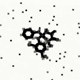 CC(C)OC(=O)C(C)[AsH]P(=O)(Oc1ccccc1)Oc1ccc([N+](=O)[O-])cc1Cl